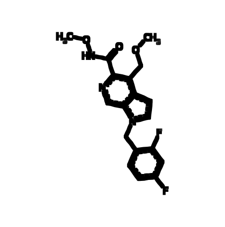 COCc1c(C(=O)NOC)ncc2c1ccn2Cc1ccc(F)cc1F